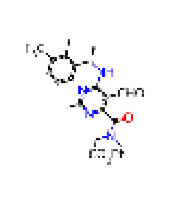 CCOC(=O)CN(C)C(=O)c1nc(C)nc(N[C@H](C)c2cccc(C(F)(F)F)c2C)c1C=O